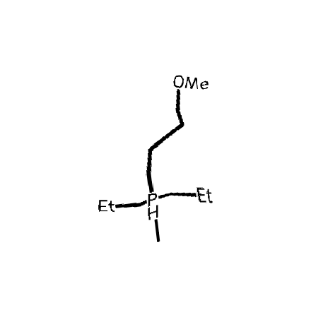 CC[PH](C)(CC)CCOC